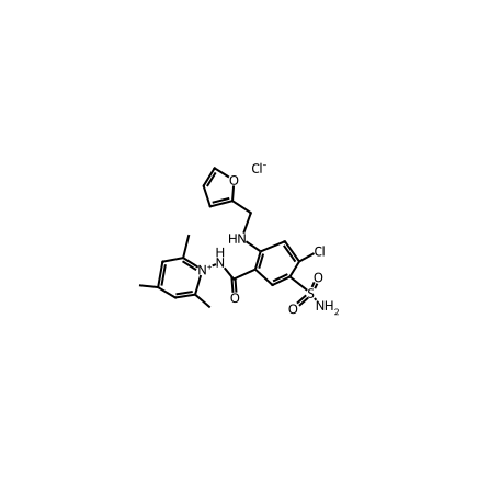 Cc1cc(C)[n+](NC(=O)c2cc(S(N)(=O)=O)c(Cl)cc2NCc2ccco2)c(C)c1.[Cl-]